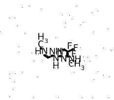 CCN/C=C\C(=N)Nc1ncc(C(F)(F)F)c(NC)n1